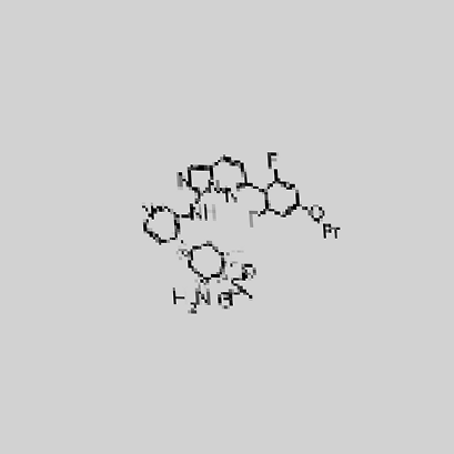 CC(C)Oc1cc(F)c(-c2ccc3cnc(Nc4cnccc4[C@H]4C[C@@H](N)[C@@H](S(C)(=O)=O)[C@@H](C)C4)n3n2)c(F)c1